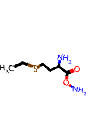 CCSCCC(N)C(=O)ON